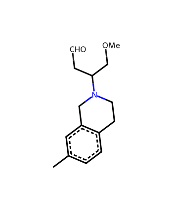 COCC(CC=O)N1CCc2ccc(C)cc2C1